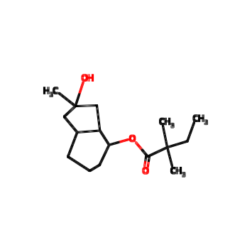 CCC(C)(C)C(=O)OC1CCCC2CC(C)(O)CC21